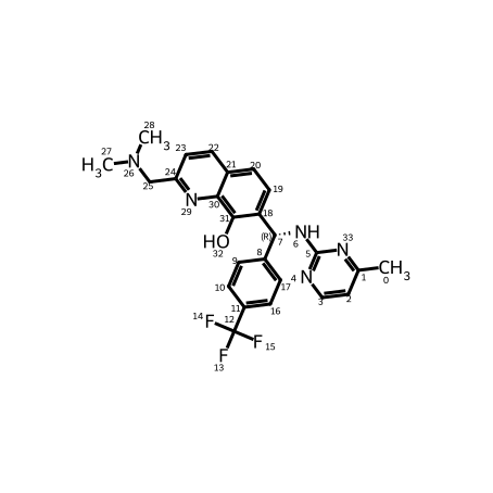 Cc1ccnc(N[C@H](c2ccc(C(F)(F)F)cc2)c2ccc3ccc(CN(C)C)nc3c2O)n1